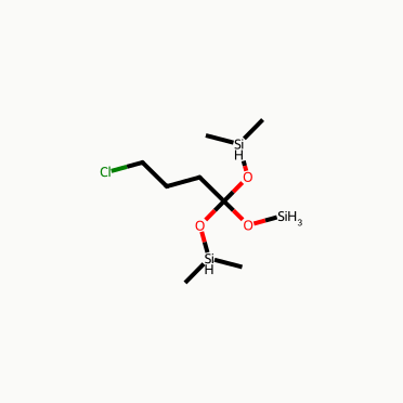 C[SiH](C)OC(CCCCl)(O[SiH3])O[SiH](C)C